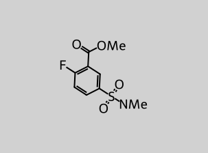 CNS(=O)(=O)c1ccc(F)c(C(=O)OC)c1